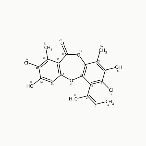 C/C=C(/C)c1c(Cl)c(O)c(C)c2c1Oc1cc(O)c(Cl)c(C)c1C(=O)O2